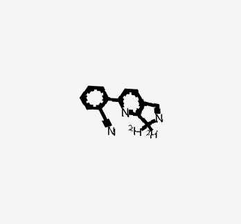 [2H]C1([2H])N=Cc2ccc(-c3ccccc3C#N)nc21